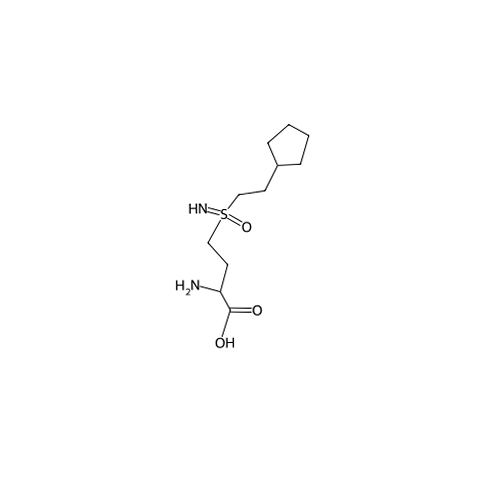 N=S(=O)(CCC1CCCC1)CCC(N)C(=O)O